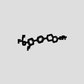 CCCC1CCC2CC(c3ccc(-c4ccc(OC(F)F)c(F)c4)cc3)CCC2C1